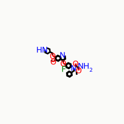 CC[C@H](c1ccccc1)N(C(=O)C(N)=O)c1ccc(Oc2ccnc3cc(OCC4CCNCC4)c(OC)cc23)c(F)c1